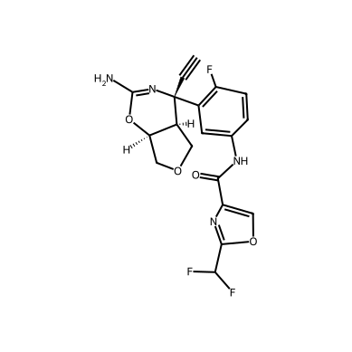 C#C[C@]1(c2cc(NC(=O)c3coc(C(F)F)n3)ccc2F)N=C(N)O[C@@H]2COC[C@@H]21